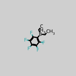 CCB(CC)c1c(F)c(F)c(F)c(F)c1F